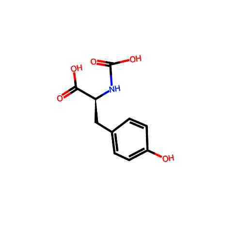 O=C(O)N[C@@H](Cc1ccc(O)cc1)C(=O)O